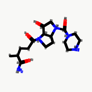 CC(C[CH]C(=O)N1CCC2C1C(=O)CN2C(=O)N1CCNCC1)C(N)=O